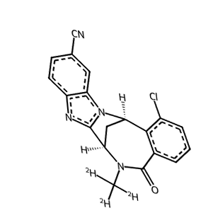 [2H]C([2H])([2H])N1C(=O)c2cccc(Cl)c2[C@H]2C[C@@H]1c1nc3ccc(C#N)cc3n12